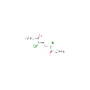 COC(=O)C(Br)CCC(Br)C(=O)OC